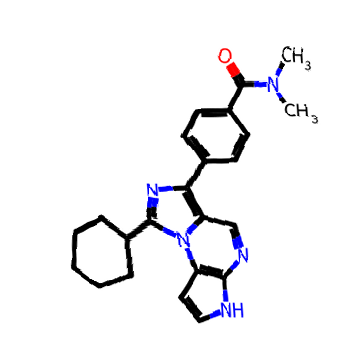 CN(C)C(=O)c1ccc(-c2nc(C3CCCCC3)n3c2cnc2[nH]ccc23)cc1